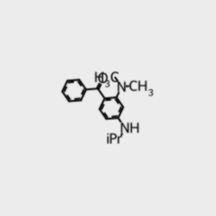 CC(C)Nc1ccc(C(=O)c2ccccc2)c(N(C)C)c1